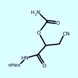 CCCCCCNC(=O)C(CC#N)OC(N)=O